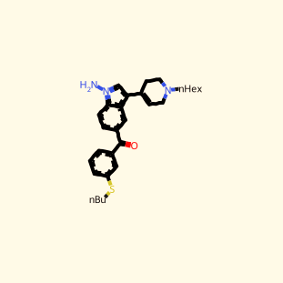 CCCCCCN1CC=C(c2cn(N)c3ccc(C(=O)c4cccc(SCCCC)c4)cc23)CC1